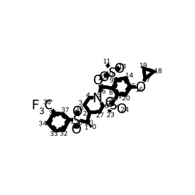 C[C@H](C1CCN(C(=O)c2c(S(C)(=O)=O)cc(OC3CC3)cc2S(C)(=O)=O)CC1)S(=O)(=O)c1cccc(C(F)(F)F)c1